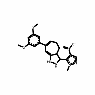 COc1cc(OC)cc(C2=CCCC3C(=C2)NNC3c2c([N+](=O)[O-])cnn2C)c1